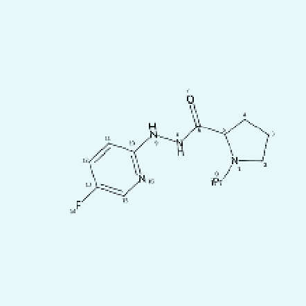 CC(C)N1CCCC1C(=O)NNc1ccc(F)cn1